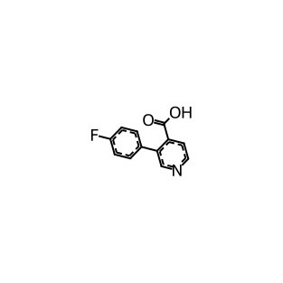 O=C(O)c1ccncc1-c1ccc(F)cc1